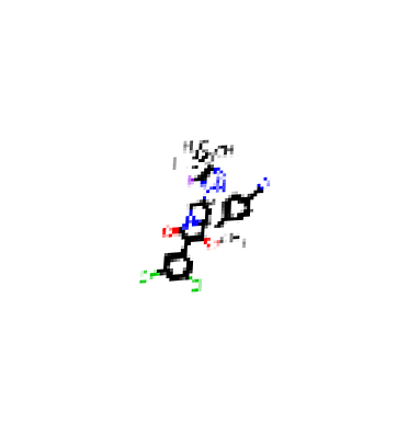 COC1=C(c2cc(Cl)cc(Cl)c2)C(=O)N2C[C@@H](n3nnc([Si](C)(C)C)c3I)C[C@@]12Cc1ccc(C#N)cc1